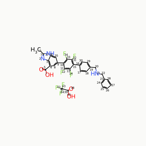 Cc1nc2c(C(=O)O)cc(-c3c(F)c(F)c(-c4ccc(CNCc5ccccc5)cc4)c(F)c3F)cc2[nH]1.O=C(O)C(F)(F)F